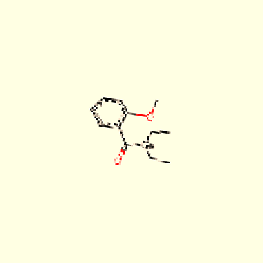 C[CH2][Ge]([CH2]C)[C](=O)c1ccccc1OC